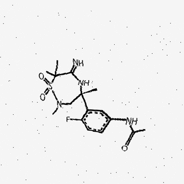 CC(=O)Nc1ccc(F)c([C@]2(C)CN(C)S(=O)(=O)C(C)(C)C(=N)N2)c1